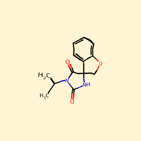 CC(C)N1C(=O)NC2(COc3ccccc32)C1=O